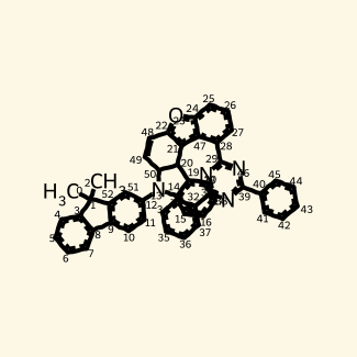 CC1(C)c2ccccc2-c2ccc(N3c4ccccc4C4c5c(oc6cccc(-c7nc(-c8ccccc8)nc(-c8ccccc8)n7)c56)C=CC43)cc21